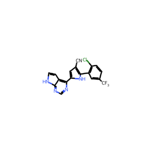 N#Cc1cc(-c2ncnc3[nH]ccc23)[nH]c1-c1cc(C(F)(F)F)ccc1Cl